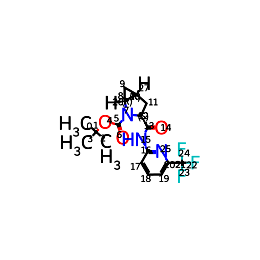 CC(C)(C)OC(=O)N1[C@@H]2C[C@@H]2C[C@H]1C(=O)Nc1cccc(C(F)(F)F)n1